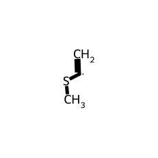 C=[C]SC